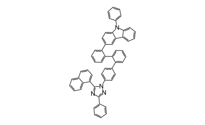 c1ccc(-c2nc(-c3cccc4ccccc34)n(-c3ccc(-c4ccccc4-c4ccccc4-c4ccc5c(c4)c4ccccc4n5-c4ccccc4)cc3)n2)cc1